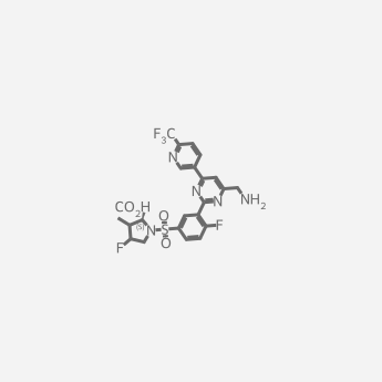 CC1C(F)CN(S(=O)(=O)c2ccc(F)c(-c3nc(CN)cc(-c4ccc(C(F)(F)F)nc4)n3)c2)[C@@H]1C(=O)O